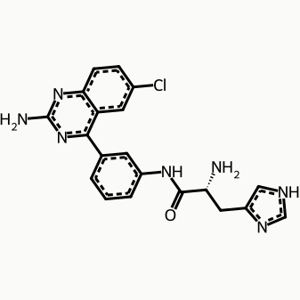 Nc1nc(-c2cccc(NC(=O)[C@H](N)Cc3c[nH]cn3)c2)c2cc(Cl)ccc2n1